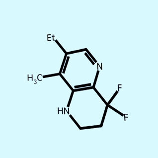 CCc1cnc2c(c1C)NCCC2(F)F